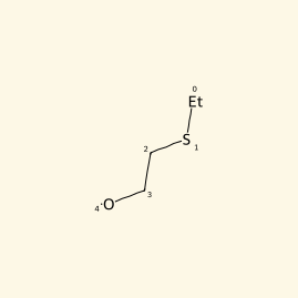 [CH2]CSCC[O]